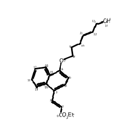 CCOC(=O)/C=C/c1ccc(OCCCCCCO)c2ccccc12